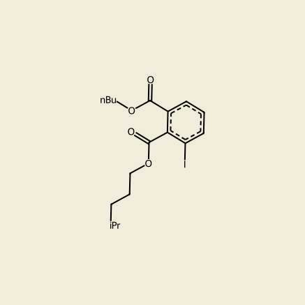 CCCCOC(=O)c1cccc(I)c1C(=O)OCCCC(C)C